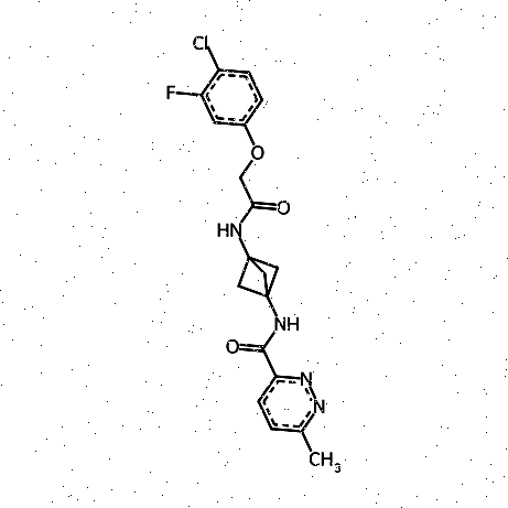 Cc1ccc(C(=O)NC23CC(NC(=O)COc4ccc(Cl)c(F)c4)(C2)C3)nn1